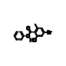 Cc1cc(Br)cc(O)c1C(=O)Oc1ccccc1